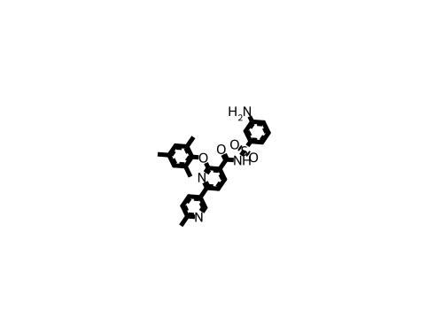 Cc1cc(C)c(Oc2nc(-c3ccc(C)nc3)ccc2C(=O)NS(=O)(=O)c2cccc(N)c2)c(C)c1